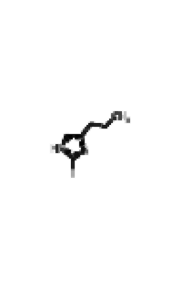 CCCc1c[nH]c(I)n1